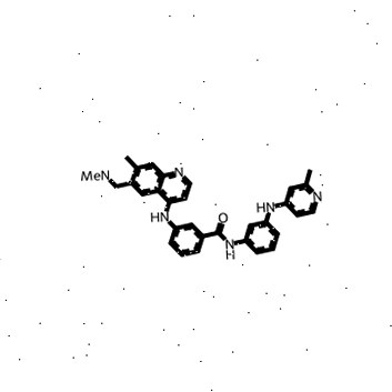 CNCc1cc2c(Nc3cccc(C(=O)Nc4cccc(Nc5ccnc(C)c5)c4)c3)ccnc2cc1C